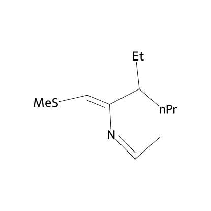 C/C=N\C(=C/SC)C(CC)CCC